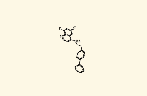 Fc1cc(F)c2nccc(NCCc3ccc(-c4ccccc4)cc3)c2c1